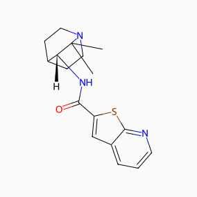 CC1(C)[C@H](NC(=O)c2cc3cccnc3s2)C2CCN1CC2